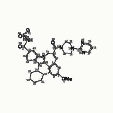 COc1ccc2c(c1)C=C(C(=O)N1CCN(c3ncccn3)CC1)Cn1c-2c(C2CCCCC2)c2ccc(C(=O)N[SH](=O)=O)cc21